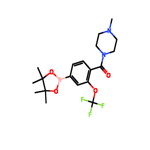 CN1CCN(C(=O)c2ccc(B3OC(C)(C)C(C)(C)O3)cc2OC(F)(F)F)CC1